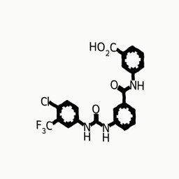 O=C(Nc1cccc(C(=O)Nc2cccc(C(=O)O)c2)c1)Nc1ccc(Cl)c(C(F)(F)F)c1